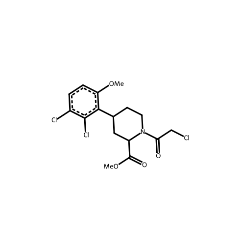 COC(=O)C1CC(c2c(OC)ccc(Cl)c2Cl)CCN1C(=O)CCl